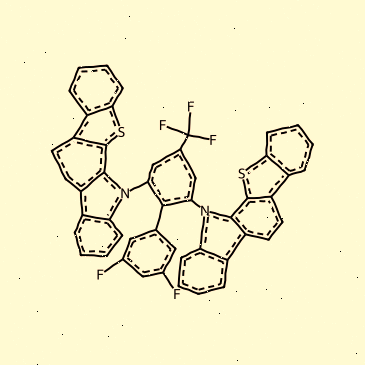 Fc1cc(F)cc(-c2c(-n3c4ccccc4c4ccc5c6ccccc6sc5c43)cc(C(F)(F)F)cc2-n2c3ccccc3c3ccc4c5ccccc5sc4c32)c1